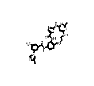 Cc1cn(-c2cc(C(=O)Nc3ccc(C)c(NC(=O)c4cnc(Nc5cc(NCCO)nc(C)n5)s4)c3)cc(C(F)(F)F)c2)cn1